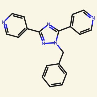 c1ccc(Cn2nc(-c3ccncc3)nc2-c2ccncc2)cc1